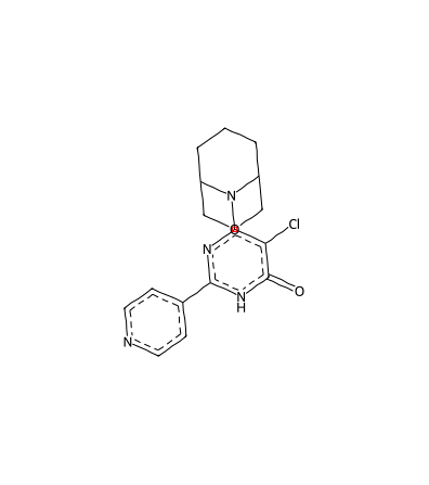 O=c1[nH]c(-c2ccncc2)nc(N2C3CCCC2COC3)c1Cl